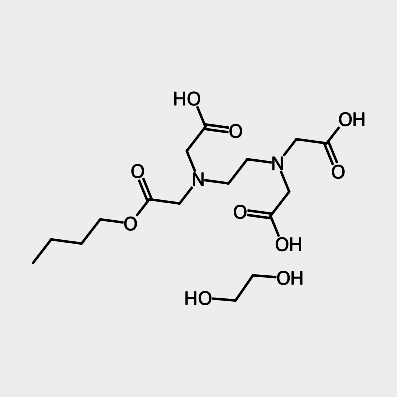 CCCCOC(=O)CN(CCN(CC(=O)O)CC(=O)O)CC(=O)O.OCCO